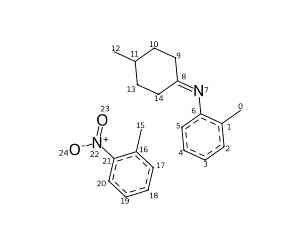 Cc1ccccc1N=C1CCC(C)CC1.Cc1ccccc1[N+](=O)[O-]